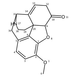 COc1ccc2c3c1OC1C(=O)CC=C4C(C2)NCCC431